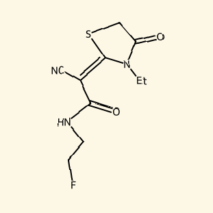 CCN1C(=O)CSC1=C(C#N)C(=O)NCCF